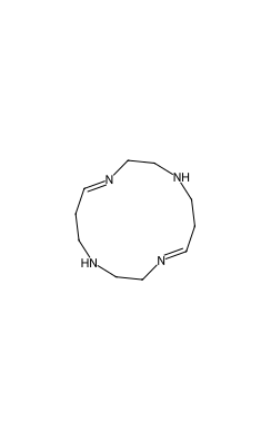 C1=N/CCNCC/C=N/CCNCC/1